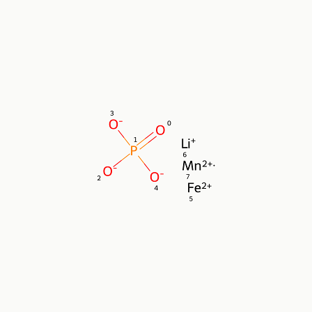 O=P([O-])([O-])[O-].[Fe+2].[Li+].[Mn+2]